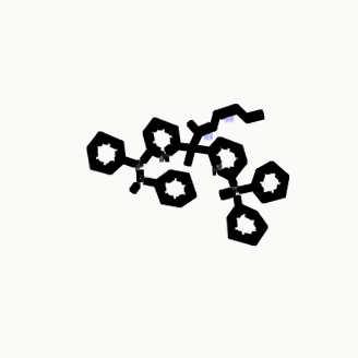 C=C/C=C\C=C(/C)C(C)(c1cccc(P(c2ccccc2)P(C)c2ccccc2)n1)c1cccc(P(=C)(c2ccccc2)c2ccccc2)n1